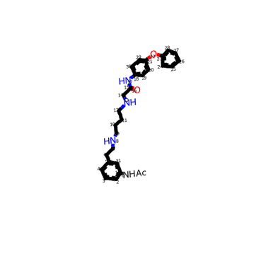 CC(=O)Nc1cccc(CCNCCCCNCC(=O)Nc2ccc(Oc3ccccc3)cc2)c1